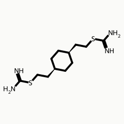 N=C(N)SCC[C@H]1CC[C@@H](CCSC(=N)N)CC1